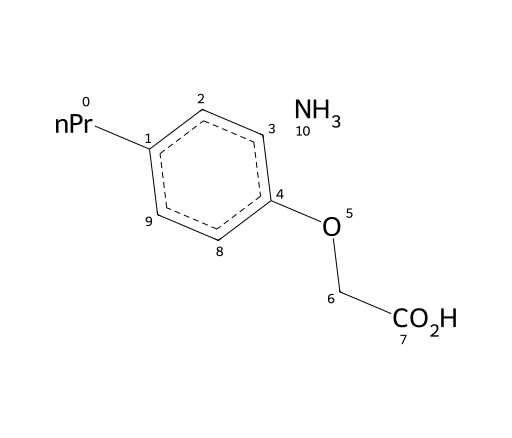 CCCc1ccc(OCC(=O)O)cc1.N